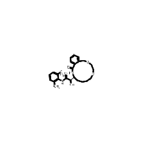 Cc1cccc(C)c1NC(=O)C(O)[C@@H]1CCCCOCCOCc2ccccc2C(=O)N1